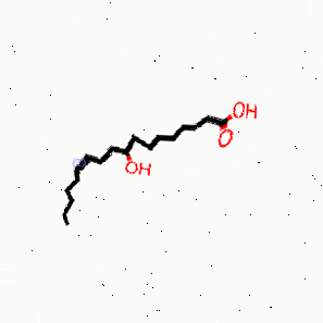 CCCCC/C=C\CCC(O)CCCCCCCC(=O)O